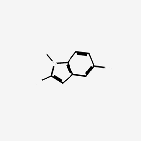 Cn1c(C(=O)O)cc2cc(C#N)ccc21